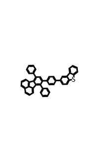 c1ccc(-c2cc(-c3ccc(-c4ccc5sc6ccccc6c5c4)cc3)c(-c3ccccc3)c3c2-c2cccc4cccc-3c24)cc1